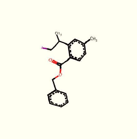 Cc1ccc(C(=O)OCc2ccccc2)c(C(C)CI)c1